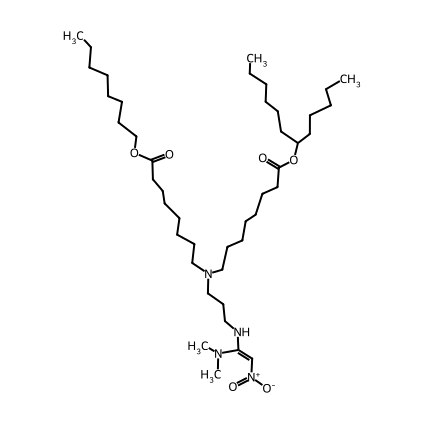 CCCCCCCCOC(=O)CCCCCCCN(CCCCCCCC(=O)OC(CCCCC)CCCCCC)CCCN/C(=C/[N+](=O)[O-])N(C)C